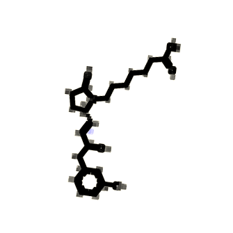 O=C(O)CCCCCCN1C(=O)CC[C@H]1/C=C/C(=O)Cc1cccc(Cl)c1